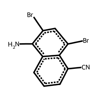 N#Cc1cccc2c(N)c(Br)cc(Br)c12